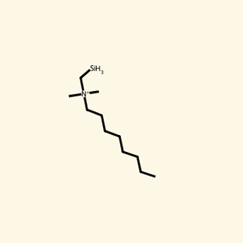 CCCCCCCC[N+](C)(C)C[SiH3]